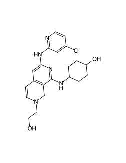 OCCN1C=Cc2cc(Nc3cc(Cl)ccn3)nc(NC3CCC(O)CC3)c2C1